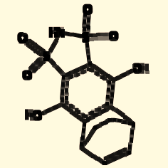 O=S1(=O)NS(=O)(=O)c2c(O)c3c(c(O)c21)C1C=CC3CC1